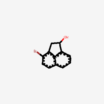 OC1Cc2c(Br)ccc3cccc1c23